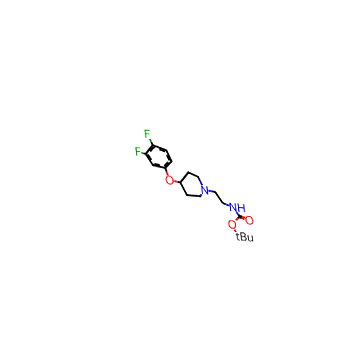 CC(C)(C)OC(=O)NCCN1CCC(Oc2ccc(F)c(F)c2)CC1